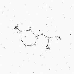 CC(C)[CH2][Al]1[CH2]CCC(O)[O]1